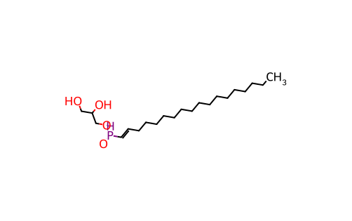 CCCCCCCCCCCCCCCCC=C[PH](=O)OCC(O)CO